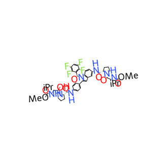 COC(=O)N[C@@H](C(C)C)C(O)N1CCC[C@H]1C(=O)Nc1ccc2c(c1)O[C@@H](c1c(F)c(F)cc(F)c1F)n1c-2cc2cc(NC(=O)[C@@H]3CCCN3C(=O)[C@@H](NC(=O)OC)C(C)C)ccc21